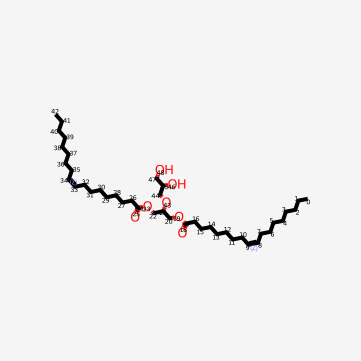 CCCCCCCC/C=C\CCCCCCCC(=O)OCC(COC(=O)CCCCCCC/C=C\CCCCCCCC)OCC(O)CO